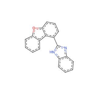 c1ccc2[nH]c(-c3cccc4oc5ccccc5c34)nc2c1